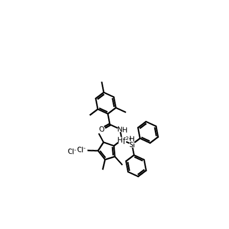 CC1=C(C)C(C)[C]([Hf+2]([NH]C(=O)c2c(C)cc(C)cc2C)[SiH](c2ccccc2)c2ccccc2)=C1C.[Cl-].[Cl-]